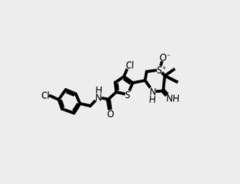 CC1(C)C(=N)NC(c2sc(C(=O)NCc3ccc(Cl)cc3)cc2Cl)C[S+]1[O-]